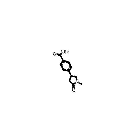 CN1CC(c2ccc(C(=O)O)cc2)CC1=O